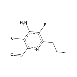 CCCc1nc(C=O)c(Cl)c(N)c1F